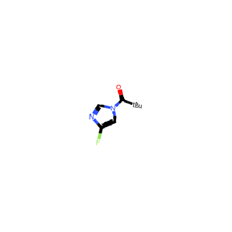 CC(C)(C)C(=O)n1cnc(F)c1